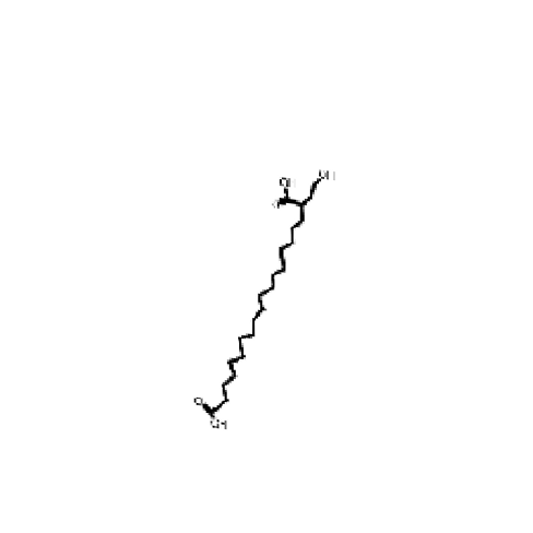 O=C(O)CCCCCCCCCCCCCCCCCC(CCO)C(=O)O